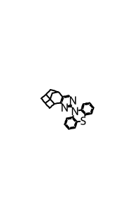 c1ccc2c(c1)Sc1ccccc1N2c1ncc2c(n1)C1CC3CC4CC2CC431